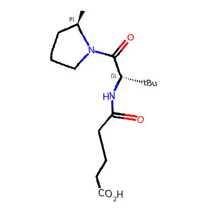 C[C@@H]1CCCN1C(=O)[C@@H](NC(=O)CCCC(=O)O)C(C)(C)C